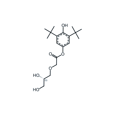 CC(C)(C)c1cc(OC(=O)COC[C@@H](O)CO)cc(C(C)(C)C)c1O